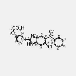 O=C(O)Oc1cnn(-c2nc3cc([S+]([O-])c4ccccc4)c(Cl)cc3[nH]2)c1